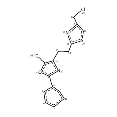 Cc1oc(-c2ccccc2)nc1CCc1nc(CCl)cs1